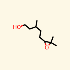 CC(CCO)CCC1OC1(C)C